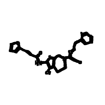 N#Cc1c(NC(=O)C=Cc2ccco2)sc2c1CCN(C(=O)OCCc1ccccn1)C2